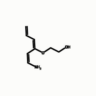 C=C/C=C(\C=C/N)OCCO